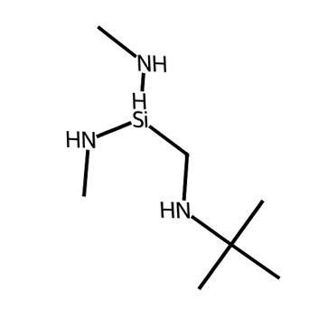 CN[SiH](CNC(C)(C)C)NC